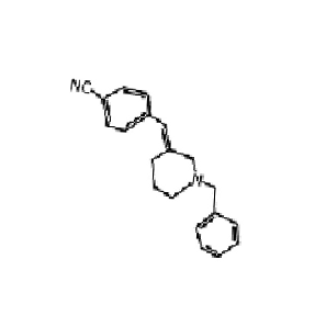 N#Cc1ccc(C=C2CCCN(Cc3ccccc3)C2)cc1